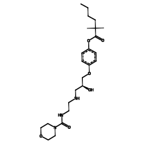 CCCCC(C)(C)C(=O)Oc1ccc(OC[C@@H](O)CNCCNC(=O)N2CCOCC2)cc1